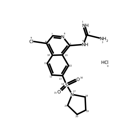 Cl.N=C(N)Nc1ncc(Cl)c2ccc(S(=O)(=O)N3CCCC3)cc12